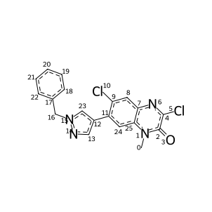 Cn1c(=O)c(Cl)nc2cc(Cl)c(-c3cnn(Cc4ccccc4)c3)cc21